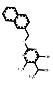 CC(O)c1c(N)nc(SCc2ccc3ccccc3c2)nc1O